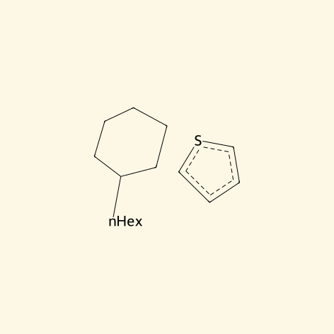 CCCCCCC1CCCCC1.c1ccsc1